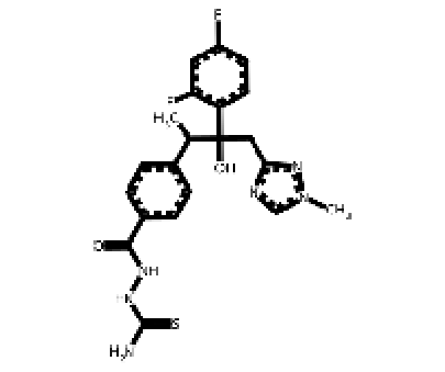 CC(c1ccc(C(=O)NNC(N)=S)cc1)C(O)(Cc1ncn(C)n1)c1ccc(F)cc1F